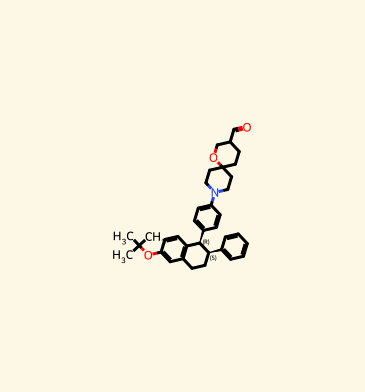 CC(C)(C)Oc1ccc2c(c1)CC[C@H](c1ccccc1)[C@@H]2c1ccc(N2CCC3(CCC(C=O)CO3)CC2)cc1